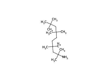 CC(C)(C)CC(C)(C)CCC(C)(C)CC(C)(C)N